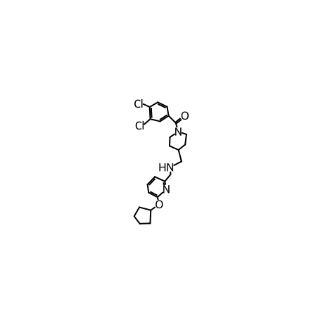 O=C(c1ccc(Cl)c(Cl)c1)N1CCC(CNCc2cccc(OC3CCCC3)n2)CC1